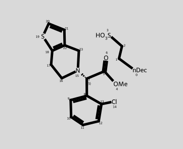 CCCCCCCCCCCCS(=O)(=O)O.COC(=O)[C@H](c1ccccc1Cl)N1CCc2sccc2C1